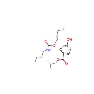 CC(C)COC(=O)c1ccc(O)cc1.CCCCNC(=O)OC#CCI